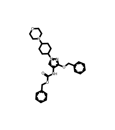 O=C(Nc1cn(C2CCC(N3CCOCC3)CC2)nc1OCc1ccccc1)OCc1ccccc1